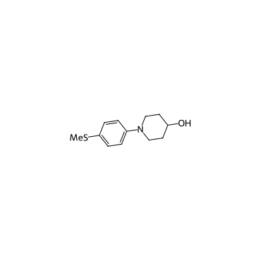 CSc1ccc(N2CCC(O)CC2)cc1